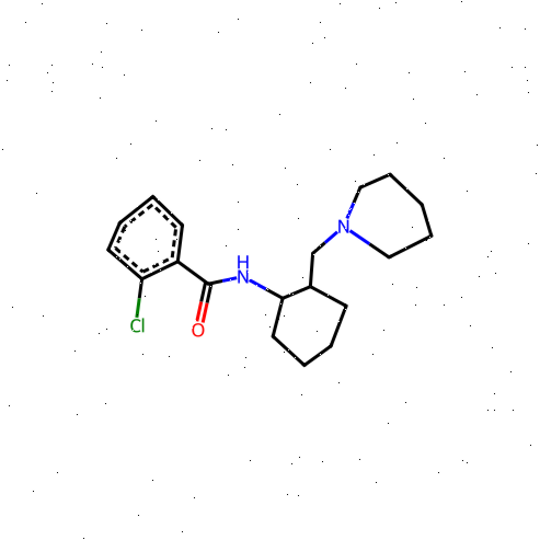 O=C(NC1CCCCC1CN1CCCCC1)c1ccccc1Cl